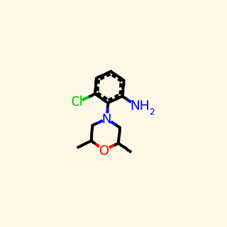 CC1CN(c2c(N)cccc2Cl)CC(C)O1